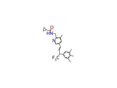 Cc1cc(/C=C/C(c2cc(C)c(C)c(C)c2)C(F)(F)F)cnc1CNC(=O)C1CC1